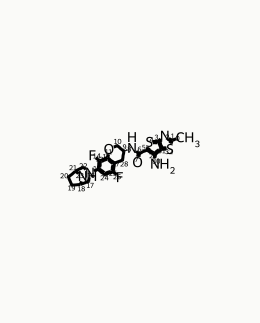 Cc1nc2sc(C(=O)N[C@H]3COc4c(F)c(N5CC6CCC(C5)N6)cc(F)c4C3)c(N)c2s1